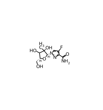 CC1(O)C(O)[C@@H](CO)O[C@H]1n1cc(F)c(C(N)=O)n1